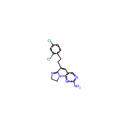 Nc1ncc2c(n1)N1CCN=C1C(CCc1ccc(Cl)cc1Cl)=C2